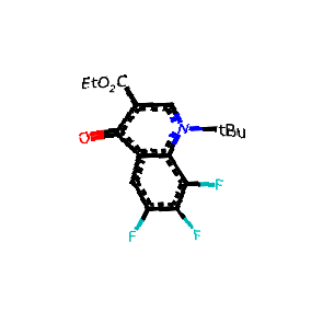 CCOC(=O)c1cn(C(C)(C)C)c2c(F)c(F)c(F)cc2c1=O